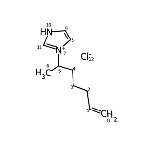 C=CCCCC(C)[n+]1cc[nH]c1.[Cl-]